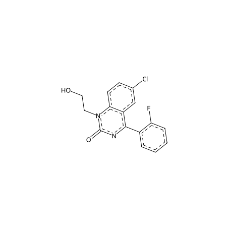 O=c1nc(-c2ccccc2F)c2cc(Cl)ccc2n1CCO